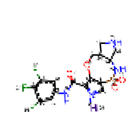 Cn1cc2c(c1C(=O)Nc1cc(F)c(F)c(F)c1)OCC1CNCC1NS2(=O)=O.I